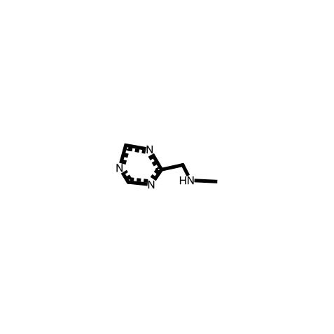 CNCc1ncncn1